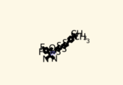 CN(C)c1ccc(-c2cc3sc4c5sc(/C=C6\C(=O)c7cc(F)c(F)cc7C6=C(C#N)C#N)cc5sc4c3s2)cc1